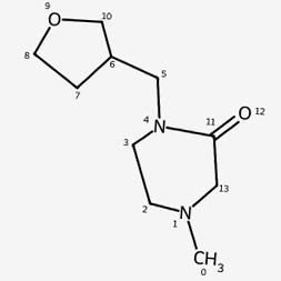 CN1CCN(CC2CCOC2)C(=O)C1